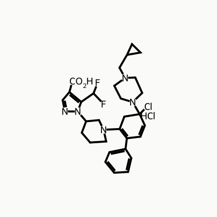 Cl.O=C(O)c1cnn(C2CCCN(C3=C(c4ccccc4)C=CC(Cl)(N4CCN(CC5CC5)CC4)C3)C2)c1C(F)F